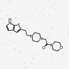 O=C(CN1CCN(CCc2cc3cc[nH]c3s2)CC1)N1CCOCC1